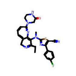 CCC1=NCC2=CC=CC(N3CCNC(=O)C3)=NC2=C1N(C)c1nc(-c2ccc(F)cc2)c(C#N)s1